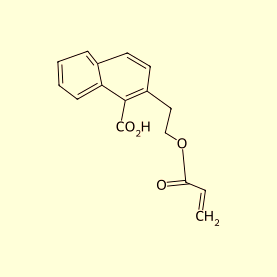 C=CC(=O)OCCc1ccc2ccccc2c1C(=O)O